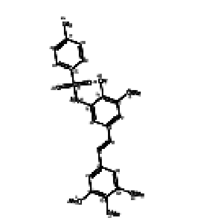 COc1cc(C=Cc2cc(OC)c(OC)c(OC)c2)cc(NS(=O)(=O)c2ccc(C(C)(C)C)cc2)c1O